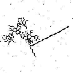 C#CC#CC#CC#CC#CC#CC#CC#CC#CC(CCCCCC)Cn1nc2c(-c3ccc(C)s3)c(F)c(F)c(-c3ccc(-c4cc5c(-c6cc(Cl)c([Si](CCC)(CCC)CCC)s6)c6sc(C)cc6c(-c6cc(Cl)c([Si](CCC)(CCC)CCC)s6)c5s4)s3)c2n1